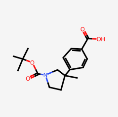 CC(C)(C)OC(=O)N1CCC(C)(c2ccc(C(=O)O)cc2)C1